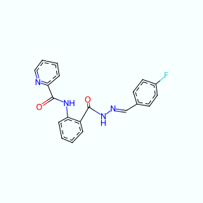 O=C(Nc1ccccc1C(=O)NN=Cc1ccc(F)cc1)c1ccccn1